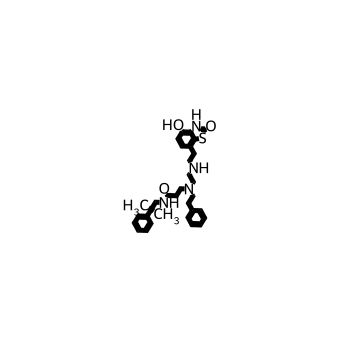 CC(C)(CNC(=O)CCN(CCNCCc1ccc(O)c2[nH]c(=O)sc12)CCc1ccccc1)c1ccccc1